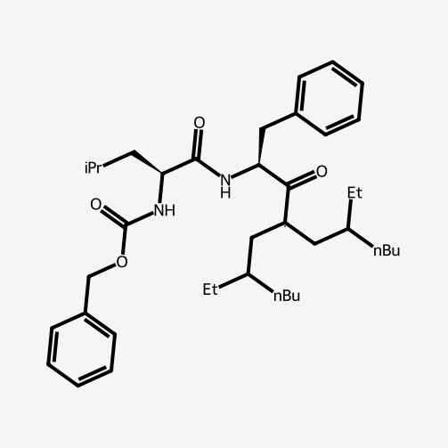 CCCCC(CC)C[C](CC(CC)CCCC)C(=O)[C@H](Cc1ccccc1)NC(=O)[C@H](CC(C)C)NC(=O)OCc1ccccc1